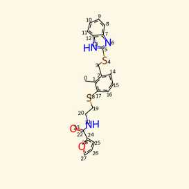 Cc1c(CSc2nc3ccccc3[nH]2)cccc1SCCNC(=O)c1ccco1